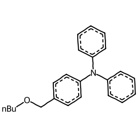 CCCCOCc1ccc(N(c2ccccc2)c2ccccc2)cc1